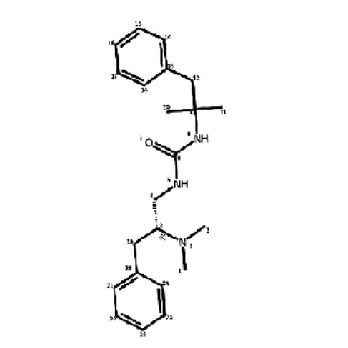 CN(C)[C@@H](CNC(=O)NC(C)(C)Cc1ccccc1)Cc1ccccc1